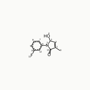 CC1=CC(O)N(c2cccc(F)c2)C1=O